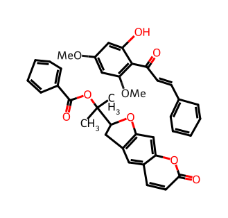 CC(C)(OC(=O)c1ccccc1)C1Cc2cc3ccc(=O)oc3cc2O1.COc1cc(O)c(C(=O)C=Cc2ccccc2)c(OC)c1